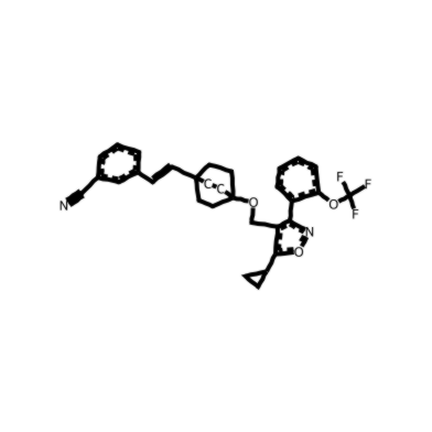 N#Cc1cccc(/C=C/C23CCC(OCc4c(-c5ccccc5OC(F)(F)F)noc4C4CC4)(CC2)CC3)c1